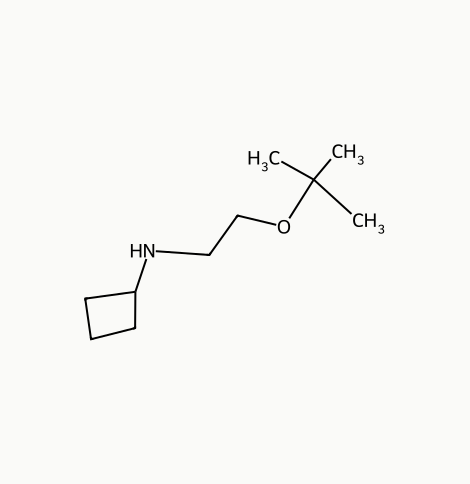 CC(C)(C)OCCNC1CCC1